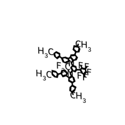 Cc1ccc(-c2ccc3c(c2)c2cc(-c4ccc(C)cc4)ccc2n3-c2cc(-c3c(F)c(F)c(F)c(F)c3F)cc(-n3c4ccc(-c5ccc(C)cc5)cc4c4cc(-c5ccc(C)cc5)ccc43)c2C(F)(F)F)cc1